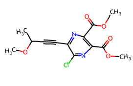 COC(=O)c1nc(Cl)c(C#CC(C)OC)nc1C(=O)OC